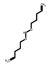 C=CCCCOBOCCCC=C